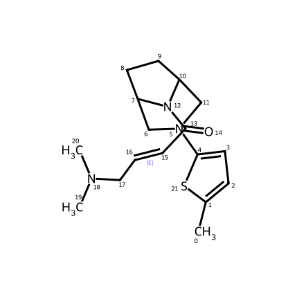 Cc1ccc(N2CC3CCC(C2)N3C(=O)/C=C/CN(C)C)s1